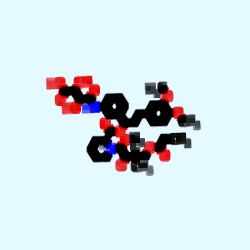 C=CC(=O)OCC(C)(C)C(=O)C(=O)N1CCCC[C@H]1C(=O)OC(CCc1ccc(OC)c(OC)c1)c1cccc(NC(=O)C(O)C(O)C(=O)O)c1